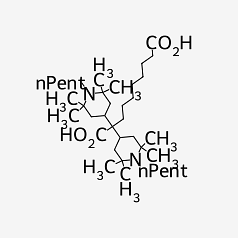 CCCCCN1C(C)(C)CC(C(CCCCCCCC(=O)O)(C(=O)O)C2CC(C)(C)N(CCCCC)C(C)(C)C2)CC1(C)C